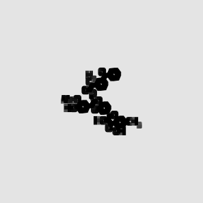 COc1cc(C2Oc3cc([C@@H]4Oc5cc(C)cc(O)c5C(=O)C4O)ccc3O[C@H]2COC(=O)[C@@H](C)c2cccc(C(=O)c3ccccc3)c2)ccc1O